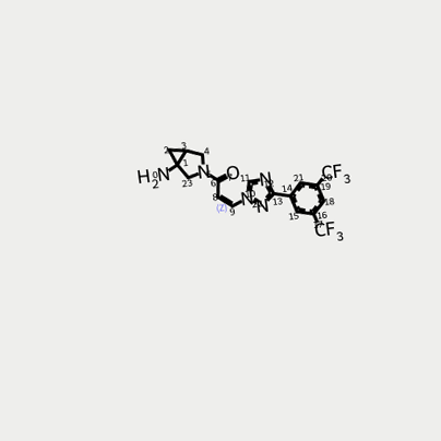 NC12CC1CN(C(=O)/C=C\n1cnc(-c3cc(C(F)(F)F)cc(C(F)(F)F)c3)n1)C2